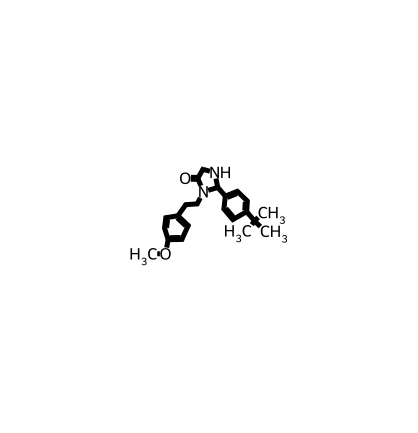 COc1ccc(CCN2C(=O)CNC2c2ccc(C(C)(C)C)cc2)cc1